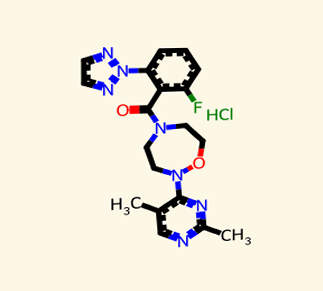 Cc1ncc(C)c(N2CCN(C(=O)c3c(F)cccc3-n3nccn3)CCO2)n1.Cl